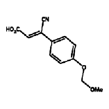 COCOc1ccc(/C(C#N)=C/C(=O)O)cc1